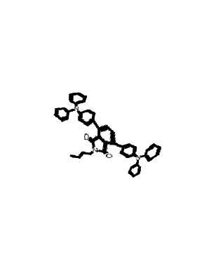 CCCCN1C(=O)C2C(c3ccc(N(c4ccccc4)c4ccccc4)cc3)=CC=C(c3ccc(N(c4ccccc4)c4ccccc4)cc3)C2C1=O